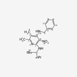 CCCC(Nc1nc(C)c(C)c(NCc2ccccc2)c1[N+](=O)[O-])C(C)(C)C